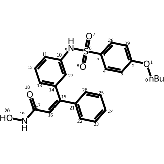 CCCCOc1ccc(S(=O)(=O)Nc2cccc(/C(=C\C(=O)NO)c3ccccc3)c2)cc1